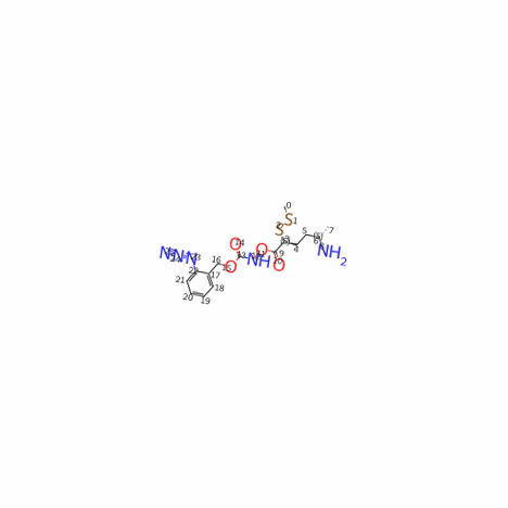 CSS[C@@H](CC[C@H](C)N)C(=O)ONC(=O)OCc1ccccc1N=[N+]=[N-]